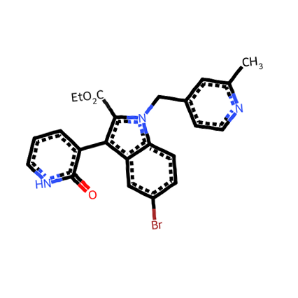 CCOC(=O)c1c(-c2ccc[nH]c2=O)c2cc(Br)ccc2n1Cc1ccnc(C)c1